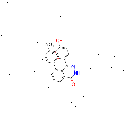 O=c1[nH]nc(-c2ccc(O)cc2)c2c(-c3ccc([N+](=O)[O-])cc3)cccc12